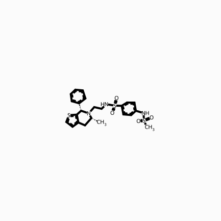 C[C@@H]1Cc2ccsc2[C@H](c2ccccc2)N1CCNS(=O)(=O)c1ccc(NS(C)(=O)=O)cc1